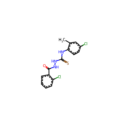 Cc1cc(Cl)ccc1NC(=S)NNC(=O)c1ccccc1Cl